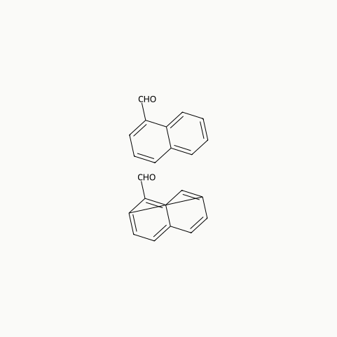 O=Cc1c2ccc3ccc-2cc13.O=Cc1cccc2ccccc12